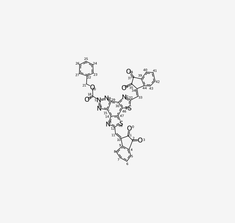 O=C1C(=O)c2ccccc2/C1=C/c1nc2c3nn(C(=O)OCc4ccccc4)nc3c3nc(/C=C4\C(=O)C(=O)c5ccccc54)sc3c2s1